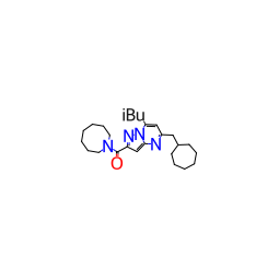 CCC(C)c1cc(CC2CCCCCC2)nc2cc(C(=O)N3CCCCCCC3)nn12